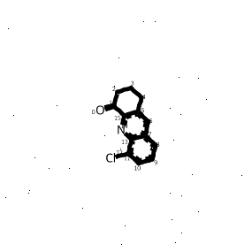 O=C1CCCc2cc3cccc(Cl)c3nc21